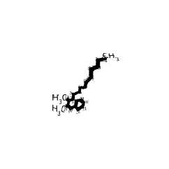 CCCCCCCCCCCCC(C)[C](C)Cc1ccccc1